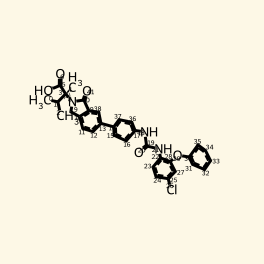 CC(C)[C@@](C)(C(=O)O)N1Cc2ccc(-c3ccc(NC(=O)Nc4ccc(Cl)cc4Oc4ccccc4)cc3)cc2C1=O